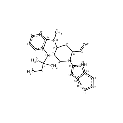 CCC(C)(C)Nc1cccnc1N(C)C1CCN(c2cc3ccccc3[nH]2)C(C=O)C1